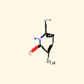 CCCCc1ccc(C(=O)O)c(=O)[nH]1